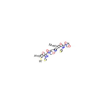 COc1cc2c(cc1SCC(C)C)-c1c(c(C(=O)N3CCOCC3(C)Cc3cc(-c4cc5c(cc4OC)OCc4c(C(=O)N6CCOCC6(C)C)nn(-c6ccsc6)c4-5)cn3C)nn1-c1ccsc1)CO2